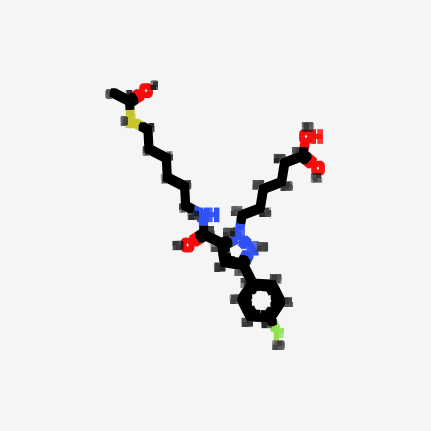 CC(=O)SCCCCCCNC(=O)c1cc(-c2ccc(F)cc2)nn1CCCCCC(=O)O